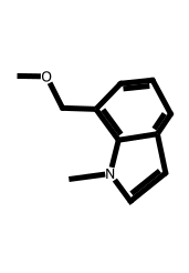 COCc1cccc2ccn(C)c12